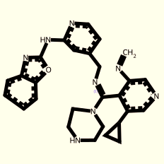 C=Nc1cncc(C2CC2)c1/C(=N\Cc1ccnc(Nc2nc3ccccc3o2)c1)N1CCNCC1